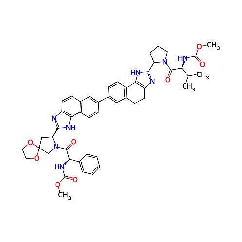 COC(=O)N[C@H](C(=O)N1CCCC1c1nc2c([nH]1)-c1ccc(-c3ccc4c(ccc5nc([C@@H]6CC7(CN6C(=O)[C@H](NC(=O)OC)c6ccccc6)OCCO7)[nH]c54)c3)cc1CC2)C(C)C